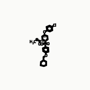 COC(=O)[C@@H]1C[C@@H](Oc2ccc(Cl)cc2)CCN1S(=O)(=O)c1ccc(OCC2CCCCC2)cc1